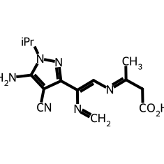 C=N/C(=C\N=C(/C)CC(=O)O)c1nn(C(C)C)c(N)c1C#N